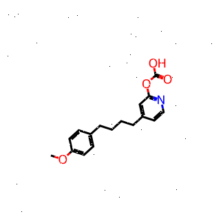 COc1ccc(CCCCc2ccnc(OC(=O)O)c2)cc1